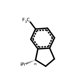 CC(C)[C@H]1CCc2ccc(C(F)(F)F)cc21